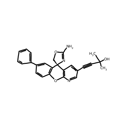 CC(C)(O)C#Cc1cnc2c(c1)[C@]1(COC(N)=N1)c1cc(-c3ccccc3)ccc1O2